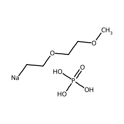 COCCOC[CH2][Na].O=P(O)(O)O